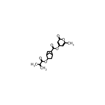 C=C(C)C(=O)OC1CC2CC1CC2C(=O)Oc1cc(C)oc(=O)c1